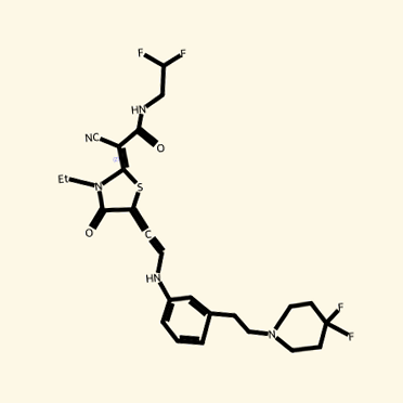 CCn1c(=O)c(=C=CNc2cccc(CCN3CCC(F)(F)CC3)c2)s/c1=C(/C#N)C(=O)NCC(F)F